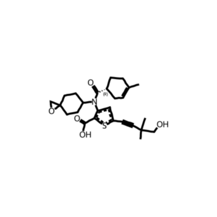 CC1=CC[C@H](C(=O)N(c2cc(C#CC(C)(C)CO)sc2C(=O)O)C2CCC3(CC2)CO3)CC1